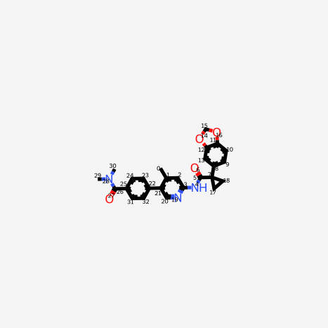 Cc1cc(NC(=O)C2(c3ccc4c(c3)OCO4)CC2)ncc1-c1ccc(C(=O)N(C)C)cc1